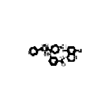 CN1CCC(Nc2cccc(C(=O)N[C@H]3CCOc4c(Cl)ccc(F)c43)c2)(c2nnc(-c3ccncc3)[nH]2)CC1